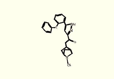 N#CN1CC2CC1CC2CC(=O)c1cc(-c2ccccc2Sc2ccccc2)[nH]n1